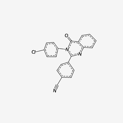 N#Cc1ccc(-c2nc3ccccc3c(=O)n2-c2ccc(Cl)cc2)cc1